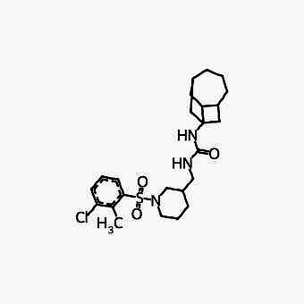 Cc1c(Cl)cccc1S(=O)(=O)N1CCCC(CNC(=O)NC23CC4CCCC(C2)C3C4)C1